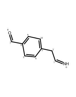 N=CCc1ccc([C]=O)cc1